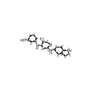 Oc1cccc(Nc2nc(Nc3ccc4[nH]ncc4c3)ncc2F)c1